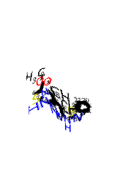 CCOC(=O)c1csc(Nc2nnc(Nc3nc4ccccc4s3)c(C)c2CC)n1